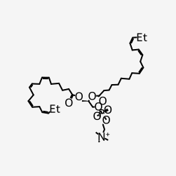 CC/C=C\C/C=C\C/C=C\C/C=C\CCCCC(=O)OC[C@H](COP(=O)([O-])OCC[N+](C)(C)C)OC(=O)CCCCCCC/C=C\C/C=C\C/C=C\CC